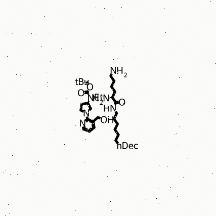 CCCCCCCCCCCCCCCCNC(=O)[C@@H](N)CCCCN.CCN(C(=O)OC(C)(C)C)[C@@H]1CCN(c2ncccc2CO)C1